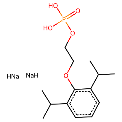 CC(C)c1cccc(C(C)C)c1OCCOP(=O)(O)O.[NaH].[NaH]